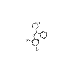 Brc1cnc(O[C@H](c2ccccc2)[C@@H]2CCNC2)c(Br)c1